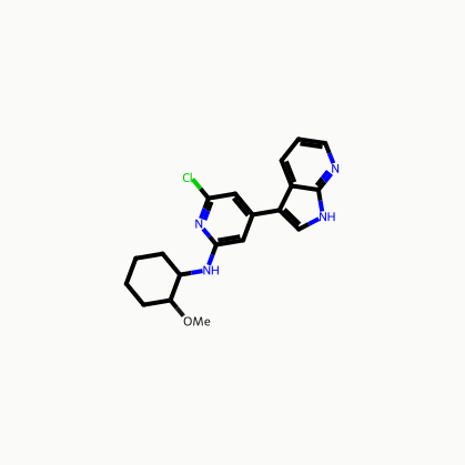 COC1CCCCC1Nc1cc(-c2c[nH]c3ncccc23)cc(Cl)n1